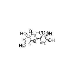 O=C(O)CC1C(=O)c2c(O)cc(O)cc2OC1c1ccc(O)c(O)c1